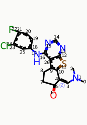 CN(C)/C=C1/C(=O)CCc2c1sc1ncnc(Nc3ccc(F)c(Cl)c3)c21